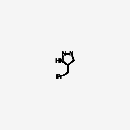 CC(C)CC1CN=NN1